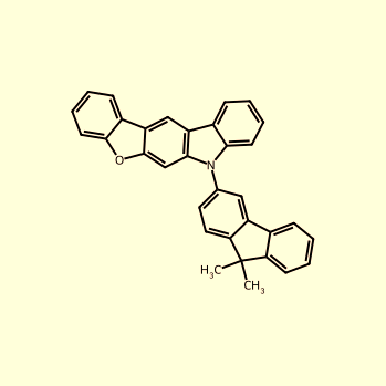 CC1(C)c2ccccc2-c2cc(-n3c4ccccc4c4cc5c(cc43)oc3ccccc35)ccc21